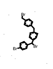 BrCc1ccc(Cc2ccc(C(Br)c3ccc(Br)cc3)cc2)cc1